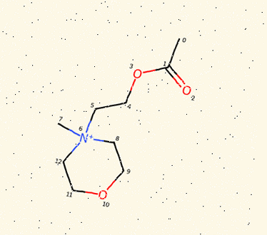 CC(=O)OCC[N+]1(C)CCOCC1